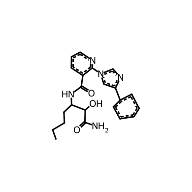 CCCCC(NC(=O)c1cccnc1-n1cnc(-c2ccccc2)c1)C(O)C(N)=O